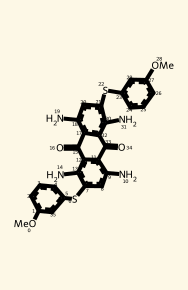 COc1cccc(Sc2cc(N)c3c(c2N)C(=O)c2c(N)cc(Sc4cccc(OC)c4)c(N)c2C3=O)c1